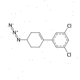 [N-]=[N+]=NC1CC=C(c2cc(Cl)cc(Cl)c2)CC1